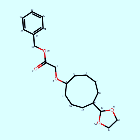 O=C(COC1CCCCC(C2OCCO2)CCC1)OCc1ccccc1